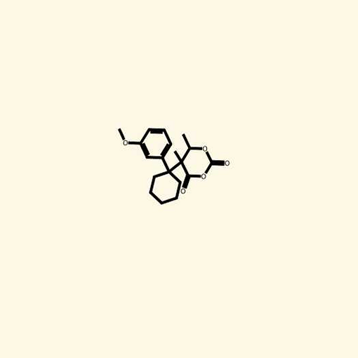 COc1cccc(C2(C3(C)C(=O)OC(=O)OC3C)CCCCC2)c1